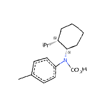 Cc1ccc(N(C(=O)O)[C@H]2CCCC[C@H]2C(C)C)cc1